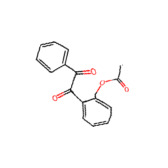 [CH2]C(=O)Oc1ccccc1C(=O)C(=O)c1ccccc1